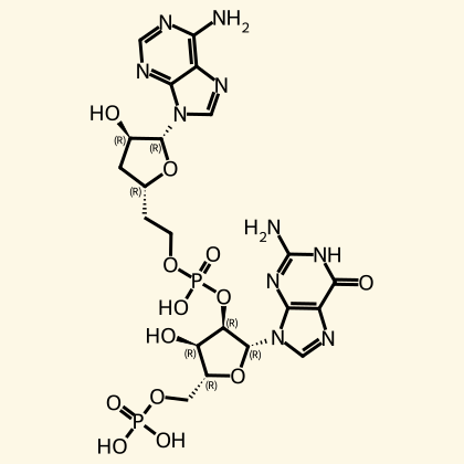 Nc1nc2c(ncn2[C@@H]2O[C@H](COP(=O)(O)O)[C@@H](O)[C@H]2OP(=O)(O)OCC[C@@H]2C[C@@H](O)[C@H](n3cnc4c(N)ncnc43)O2)c(=O)[nH]1